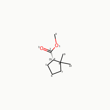 COC(=O)[C@H]1CCCC1(C)C